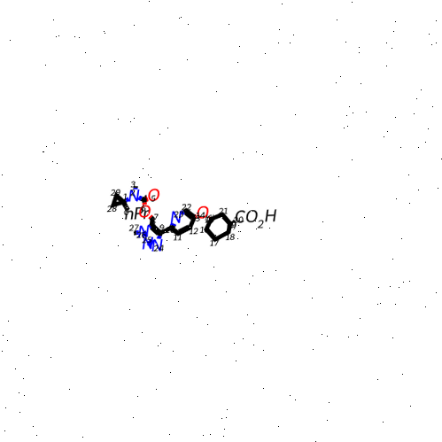 CCCC1(N(C)C(=O)OCc2c(-c3ccc(O[C@H]4CCC[C@H](C(=O)O)C4)cn3)nnn2C)CC1